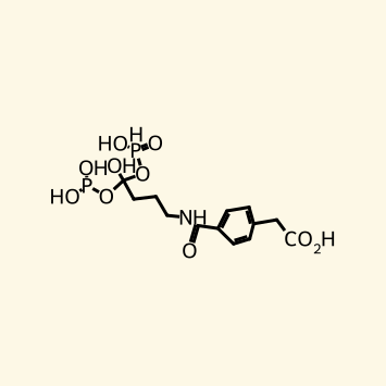 O=C(O)Cc1ccc(C(=O)NCCCC(O)(OP(O)O)O[PH](=O)O)cc1